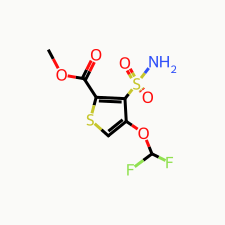 COC(=O)c1scc(OC(F)F)c1S(N)(=O)=O